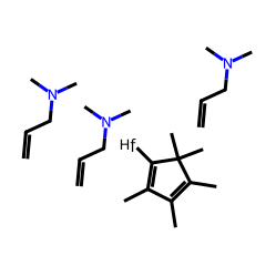 C=CCN(C)C.C=CCN(C)C.C=CCN(C)C.CC1=C(C)C(C)(C)[C]([Hf])=C1C